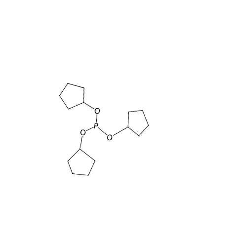 C1CCC(OP(OC2CCCC2)OC2CCCC2)C1